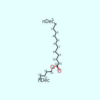 CCCCCCCCCCCCCCCCCCCCCC(=O)OCCCCCCCCCCCCCC